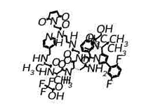 C[C@H](NCc1ccncc1)C(=O)N[C@H](C)C(=O)N[C@@H](CC(N)=O)C(=O)N[C@@H](CCN(C(=O)CO)[C@@H](c1cc(-c2cc(F)ccc2F)cn1Cc1ccccc1)C(C)(C)C)C(=O)NCCNC(=O)CN1C(=O)C=CC1=O.O=C(O)C(F)(F)F